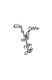 COCCOCCN(CC(=O)NCCNC(=O)CCN1C(=O)C=CC1=O)C(=O)COCCOC